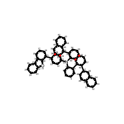 c1ccc(-c2ccccc2N(c2ccc(-c3cccc4c3oc3ccccc34)cc2)c2ccccc2-c2cccc3ccccc23)c(-c2ccc3ccccc3c2)c1